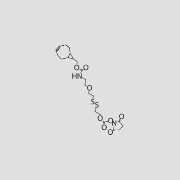 O=C(NCCOCCSSCCOC(=O)ON1C(=O)CCC1=O)OCC1C2CCC#CCCC21